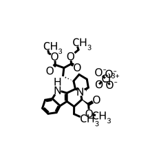 CCOC(=O)C(C[C@@H]1CCC[N+]2=C1c1[nH]c3ccccc3c1C(CC)[C@@H]2C(=O)OC)C(=O)OCC.[O-][Cl+3]([O-])([O-])[O-]